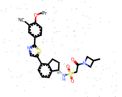 CC1CN(C(=O)CS(=O)(=O)N[C@H]2CCc3c(-c4cnc(-c5ccc(OC(C)C)c(C#N)c5)s4)cccc32)C1